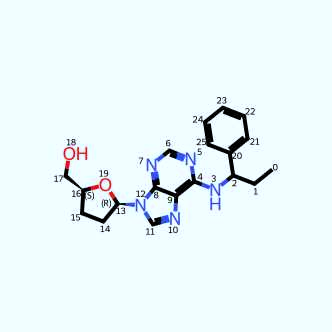 CCC(Nc1ncnc2c1ncn2[C@H]1CC[C@@H](CO)O1)c1ccccc1